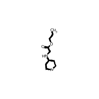 CCCOC(=O)CNC1CC[N]CC1